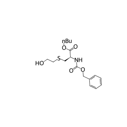 CCCCOC(=O)[C@H](CSCCO)NC(=O)OCc1ccccc1